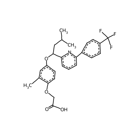 Cc1cc(OC(CC(C)C)c2cccc(-c3ccc(C(F)(F)F)cc3)n2)ccc1OCC(=O)O